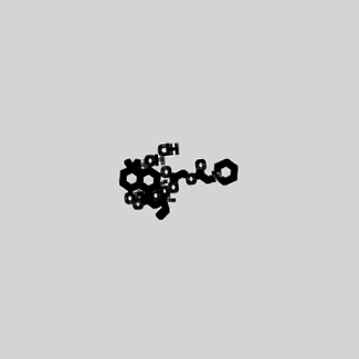 C=C[C@@]1(C)CC(=O)[C@]2(O)[C@@]3(C)[C@@H](O)CCC(C)(C)[C@@H]3[C@H](O)[C@H](OC(=O)COC(=O)CN3CCCCC3)[C@@]2(C)O1.Cl